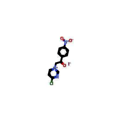 O=C(C[n+]1ccc(Cl)nc1)c1ccc([N+](=O)[O-])cc1.[I-]